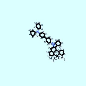 CC1(C)c2ccccc2-c2c3c1cccc3cc1c2c2ccccc2n1-c1ccc(-c2ccc(N(c3ccccc3)c3ccccc3)cc2)cc1